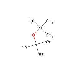 [CH2]CCC(CCC)(CCC)O[Si](C)(C)C